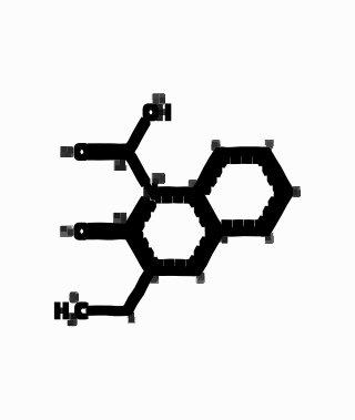 CCc1cc2ccccc2n(C(=O)O)c1=O